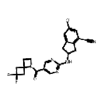 N#Cc1cc(Cl)cc2c1C[C@@H](Nc1ncc(C(=O)N3CCC34CC(F)(F)C4)cn1)C2